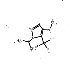 COc1cnn(C(C)C)c1C(F)(F)F